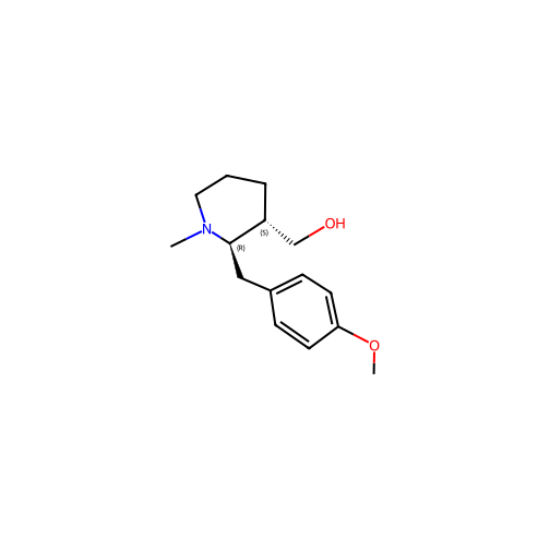 COc1ccc(C[C@@H]2[C@@H](CO)CCCN2C)cc1